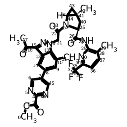 COC(=O)c1ncc(-c2cc(C)c3c(c2)c(C(C)=O)nn3CC(=O)N2[C@H](C(=O)Nc3nc(C(F)(F)F)ccc3C)C[C@]3(C)C[C@@H]23)cn1